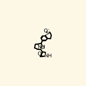 [O-][S+]1CCCc2cc(C3OC(C45CNC(CO4)C5)C4CCC3N4)ccc21